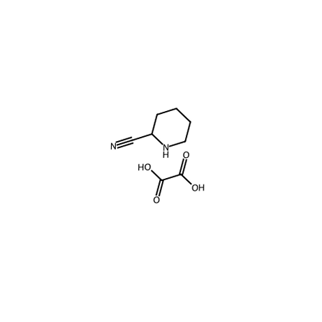 N#CC1CCCCN1.O=C(O)C(=O)O